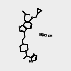 CC(c1ncc[nH]1)N1CCC(CCc2noc3c(CN(C)C)c(OCC4CC4)ccc23)CC1.Cl.Cl.Cl